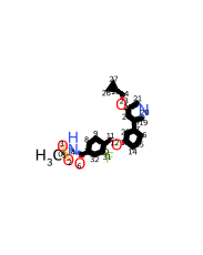 CS(=O)(=O)NC(=O)c1ccc(COc2cccc(-c3cncc(OCC4CC4)c3)c2)c(F)c1